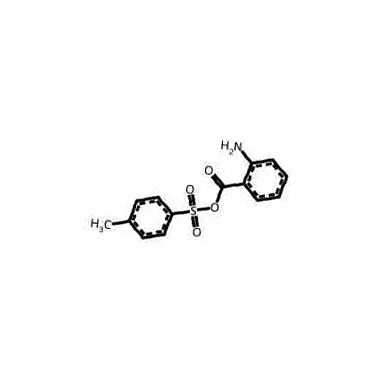 Cc1ccc(S(=O)(=O)OC(=O)c2ccccc2N)cc1